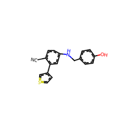 N#Cc1ccc(NCc2ccc(O)cc2)cc1-c1ccsc1